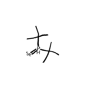 CC(C)(C)[PH](=[Se])C(C)(C)C